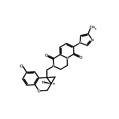 Cc1cn(-c2ccc3n(c2=O)CCN(CC24C[C@@H]2COc2ccc(Cl)cc24)C3=O)cn1